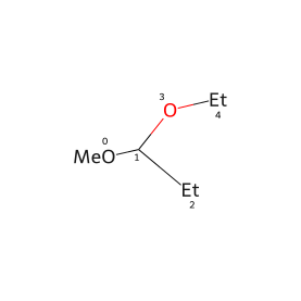 [CH2]OC(CC)OCC